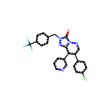 O=c1n(Cc2ccc(C(F)(F)F)cc2)nc2c(-c3cccnc3)c(-c3ccc(Cl)cc3)cnn12